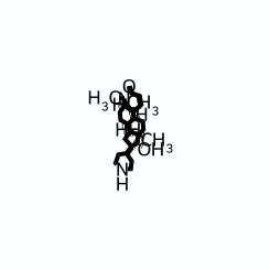 CN1C(=O)C=C[C@]2(C)[C@H]3CC[C@]4(C)[C@@H](O)C(=C5CCNCC5)C[C@H]4[C@@H]3CC[C@@H]12